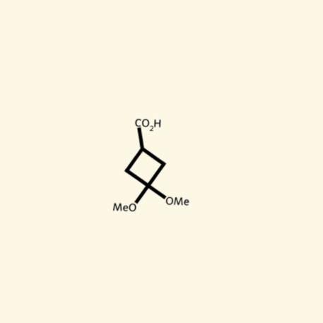 COC1(OC)CC(C(=O)O)C1